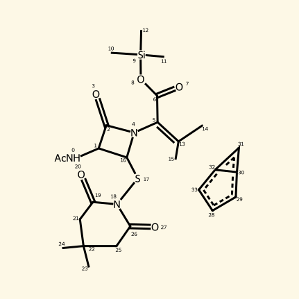 CC(=O)NC1C(=O)N(C(C(=O)O[Si](C)(C)C)=C(C)C)C1SN1C(=O)CC(C)(C)CC1=O.c1cc2cc-2c1